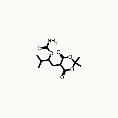 CC(C)C(CC1C(=O)OC(C)(C)OC1=O)OC(N)=O